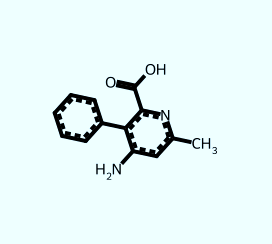 Cc1cc(N)c(-c2ccccc2)c(C(=O)O)n1